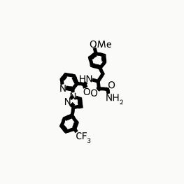 COc1ccc(CC(NC(=O)c2cccnc2-n2ccc(-c3cccc(C(F)(F)F)c3)n2)C(=O)C(N)=O)cc1